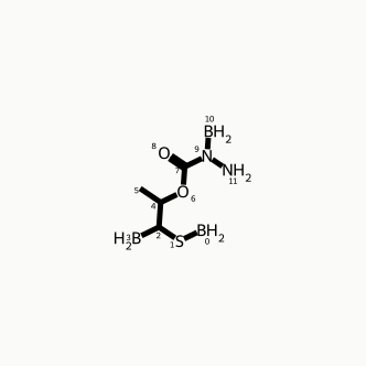 BSC(B)C(C)OC(=O)N(B)N